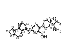 C[C@@H]1OCC2(CCN(c3ncc(Sc4ccnc5c4OCC4CCCN54)nc3CO)CC2)[C@@H]1N